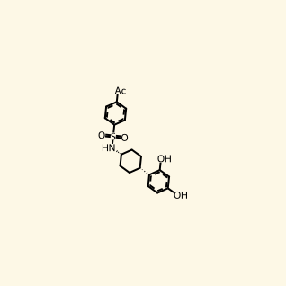 CC(=O)c1ccc(S(=O)(=O)N[C@H]2CC[C@@H](c3ccc(O)cc3O)CC2)cc1